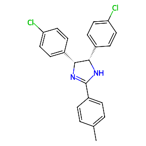 Cc1ccc(C2=N[C@H](c3ccc(Cl)cc3)[C@H](c3ccc(Cl)cc3)N2)cc1